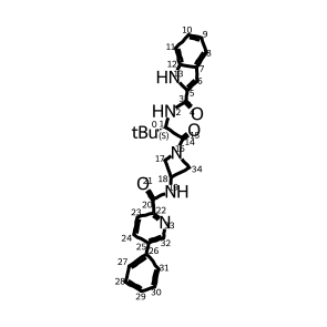 CC(C)(C)[C@H](NC(=O)c1cc2ccccc2[nH]1)C(=O)N1CC(NC(=O)c2ccc(-c3ccccc3)cn2)C1